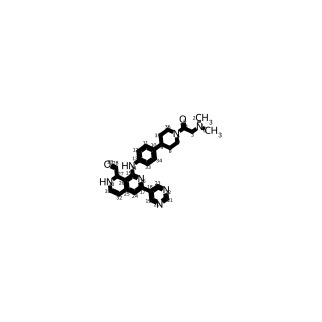 CN(C)CC(=O)N1CCC(c2ccc(Nc3nc(-c4cncnc4)cc4c3C(C=O)NC=C4)cc2)CC1